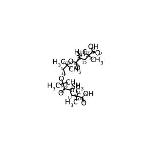 CC(C)(CCOC(C)(C)C(=O)C(S)CC(C)(C)C(=O)O)OC(=O)C(S)CC(C)(C)C(=O)O